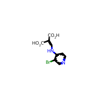 O=C(O)C(=CNc1ccncc1Br)C(=O)O